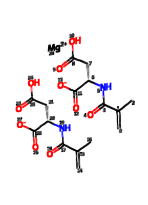 C=C(C)C(=O)N[C@@H](CC(=O)O)C(=O)[O-].C=C(C)C(=O)N[C@@H](CC(=O)O)C(=O)[O-].[Mg+2]